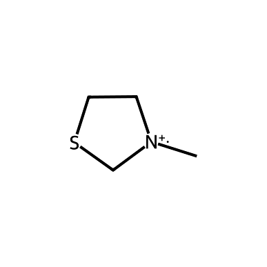 C[N+]1CCSC1